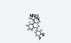 Fc1ccc(C2Cc3cnc4[nH]ncc4c3-c3ccccc32)cc1F